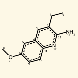 CCc1cc2cc(OC)ccc2nc1N